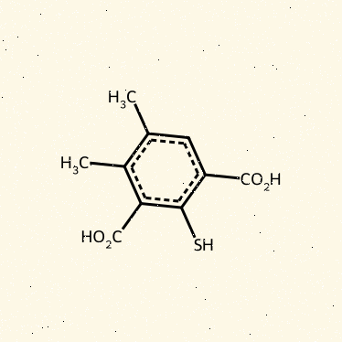 Cc1cc(C(=O)O)c(S)c(C(=O)O)c1C